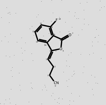 N#CCCC=C1OC(=O)c2c(F)cccc21